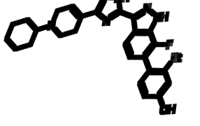 CCc1cc(O)ccc1-c1ccc2c(-c3nc(C4=CCN(C5CCCCC5)CC4)c[nH]3)n[nH]c2c1F